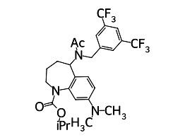 CC(=O)N(Cc1cc(C(F)(F)F)cc(C(F)(F)F)c1)C1CCCN(C(=O)OC(C)C)c2cc(N(C)C)ccc21